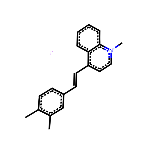 Cc1ccc(/C=C/c2cc[n+](C)c3ccccc23)cc1C.[I-]